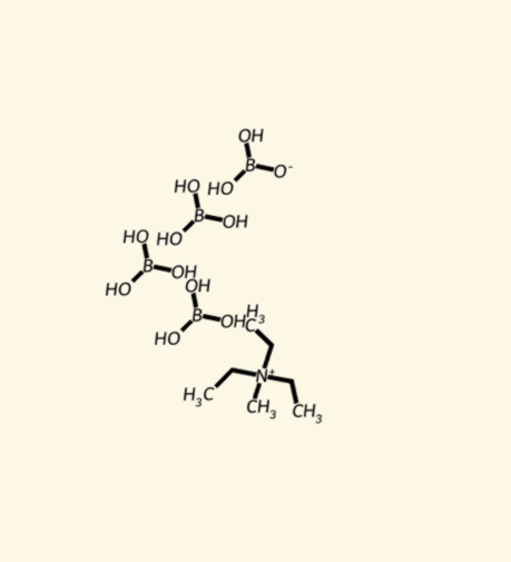 CC[N+](C)(CC)CC.OB(O)O.OB(O)O.OB(O)O.[O-]B(O)O